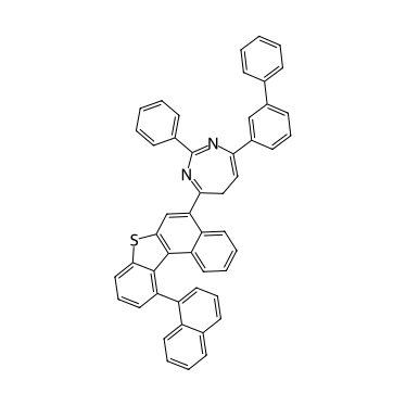 C1=C(c2cccc(-c3ccccc3)c2)N=C(c2ccccc2)N=C(c2cc3sc4cccc(-c5cccc6ccccc56)c4c3c3ccccc23)C1